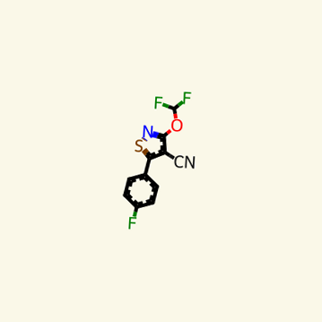 N#Cc1c(OC(F)F)nsc1-c1ccc(F)cc1